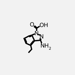 CCc1cccc2c1c(N)nn2C(=O)O